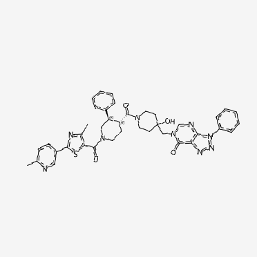 Cc1ccc(-c2nc(C)c(C(=O)N3CC[C@@H](C(=O)N4CCC(O)(Cn5cnc6c(nnn6-c6ccccc6)c5=O)CC4)[C@H](c4ccccc4)C3)s2)cn1